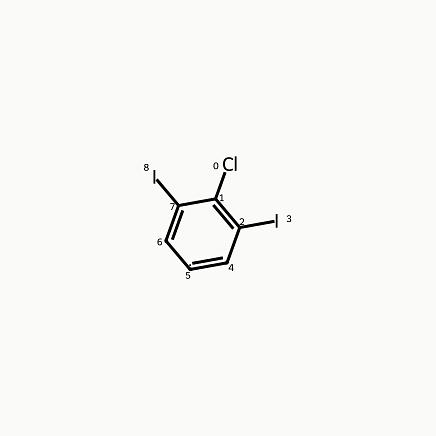 Clc1c(I)c[c]cc1I